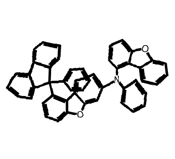 c1ccc(N(c2ccc3c(c2)oc2cccc(C4(c5ccccc5)c5ccccc5-c5ccccc54)c23)c2cccc3oc4ccccc4c23)cc1